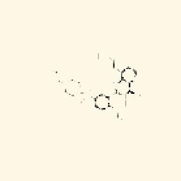 CCCc1ccnc2c(=O)[nH]c(-c3cc(S(=O)(=O)N4CCN(CCO)CC4)ccc3OCC)nc12